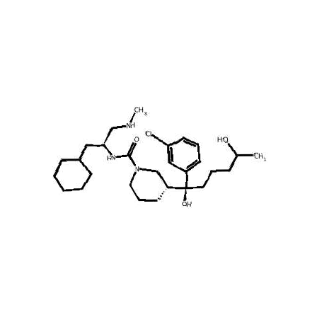 CNC[C@H](CC1CCCCC1)NC(=O)N1CCC[C@@H]([C@@](O)(CCCC(C)O)c2cccc(Cl)c2)C1